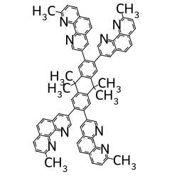 Cc1ccc2ccc3cc(-c4cc5c(cc4-c4cnc6c(ccc7ccc(C)nc76)c4)C(C)(C)c4cc(-c6cnc7c(ccc8ccc(C)nc87)c6)c(-c6cnc7c(ccc8ccc(C)nc87)c6)cc4C5(C)C)cnc3c2n1